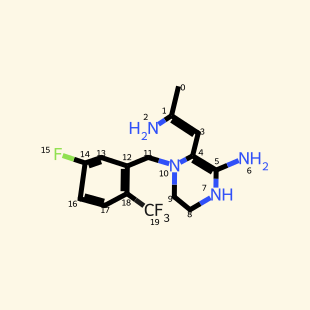 C/C(N)=C/C1=C(N)NCCN1Cc1cc(F)ccc1C(F)(F)F